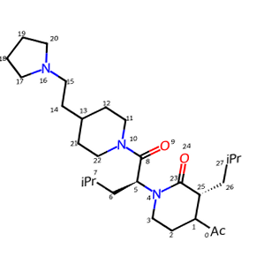 CC(=O)C1CCN([C@@H](CC(C)C)C(=O)N2CCC(CCN3CCCC3)CC2)C(=O)[C@@H]1CC(C)C